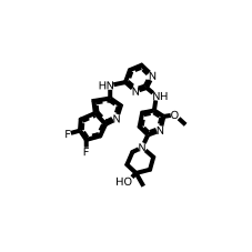 COc1nc(N2CCC(C)(O)CC2)ccc1Nc1nccc(Nc2cnc3cc(F)c(F)cc3c2)n1